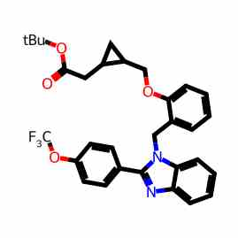 CC(C)(C)OC(=O)CC1CC1COc1ccccc1Cn1c(-c2ccc(OC(F)(F)F)cc2)nc2ccccc21